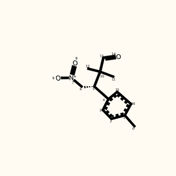 Cc1ccc([C@H](C[N+](=O)[O-])C(C)(C)C=O)cc1